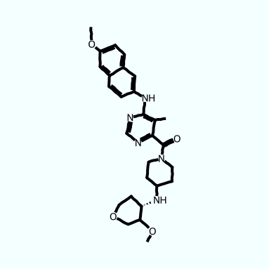 COc1ccc2cc(Nc3ncnc(C(=O)N4CCC(N[C@H]5CCOCC5OC)CC4)c3C)ccc2c1